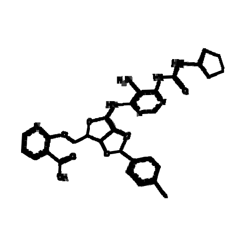 Cc1ccc(C2OC3C(COc4ncccc4C(=O)O)OC(Nc4ncnc(NC(=O)NC5CCCC5)c4N)C3O2)cc1